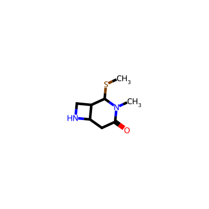 CSC1C2CNC2CC(=O)N1C